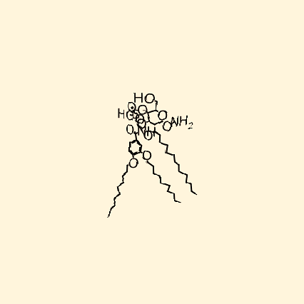 CCCCCCCCCCCCCC(=O)[C@H]1C(ON)O[C@H](CO)[C@@H](OS(=O)(=O)O)[C@@H]1ONC(=O)c1ccc(OCCCCCCCCCC)c(OCCCCCCCCCC)c1